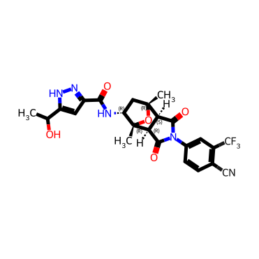 CC(O)c1cc(C(=O)N[C@@H]2C[C@@]3(C)O[C@]2(C)[C@@H]2C(=O)N(c4ccc(C#N)c(C(F)(F)F)c4)C(=O)[C@@H]23)n[nH]1